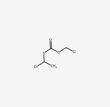 CCC(C)SC(=O)OCCl